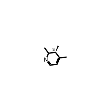 CC1=CC=NC(C)[C@H]1C